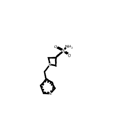 NS(=O)(=O)C1CN(Cc2ccncc2)C1